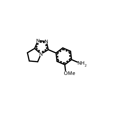 COc1cc(-c2nnc3n2CCC3)ccc1N